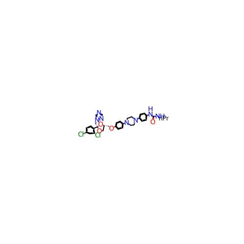 CCCNC(=O)Nc1ccc(N2CCN(c3ccc(OC[C@@H]4CO[C@@](Cn5cncn5)(c5ccc(Cl)cc5Cl)O4)cc3)CC2)cc1